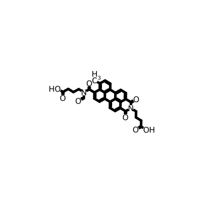 Cc1ccc2c3ccc4c5c(ccc(c6ccc(C(=O)N(C=O)CCCC(=O)O)c1c26)c53)C(=O)N(CCCC(=O)O)C4=O